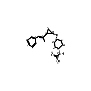 C/C(=C\c1ccccc1)C1CC1N[C@H]1CC[C@@H](NC(=O)O)CC1